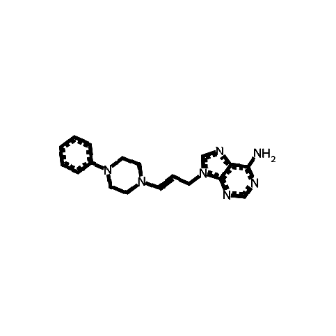 Nc1ncnc2c1ncn2CC=CN1CCN(c2ccccc2)CC1